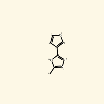 Cc1nnc(-c2c[c]oc2)o1